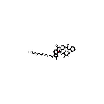 Cc1cc2cc(C(=O)N3CCN(C(=O)[C@@H](NC(=O)[C@H](C)N(C)C(=O)OC(C)(C)C)C4CCCCC4)CC3)ccc2n1CCOCCOCCOCCO